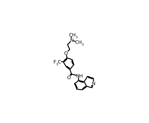 CN(C)CCOc1ccc(C(=O)Nc2cccc3cnccc23)cc1C(F)(F)F